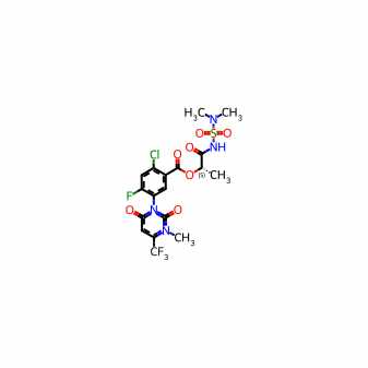 C[C@H](OC(=O)c1cc(-n2c(=O)cc(C(F)(F)F)n(C)c2=O)c(F)cc1Cl)C(=O)NS(=O)(=O)N(C)C